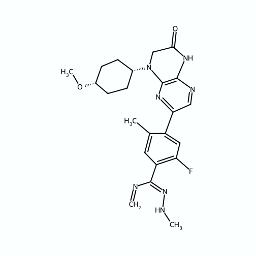 C=N/C(=N\NC)c1cc(C)c(-c2cnc3c(n2)N([C@H]2CC[C@@H](OC)CC2)CC(=O)N3)cc1F